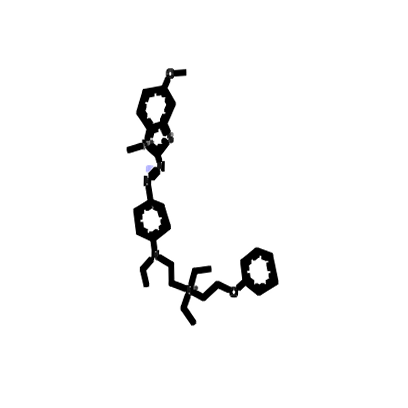 CCN(CC[N+](CC)(CC)CCOc1ccccc1)c1ccc(/N=N/c2sc3cc(OC)ccc3[n+]2C)cc1